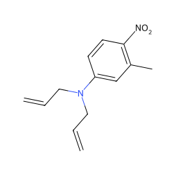 C=CCN(CC=C)c1ccc([N+](=O)[O-])c(C)c1